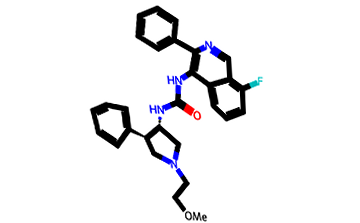 COCCN1C[C@@H](NC(=O)Nc2c(-c3ccccc3)ncc3c(F)cccc23)[C@H](c2ccccc2)C1